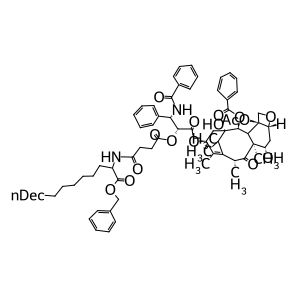 CCCCCCCCCCCCCCCCC(NC(=O)CCC(=O)O[C@@H](C(=O)O[C@H]1C[C@@]2(O)[C@@H](OC(=O)c3ccccc3)C3[C@](C)(C(=O)[C@H](C)C(=C1C)C2(C)C)[C@@H](O)C[C@H]1OC[C@@]31OC(C)=O)[C@@H](NC(=O)c1ccccc1)c1ccccc1)C(=O)OCc1ccccc1